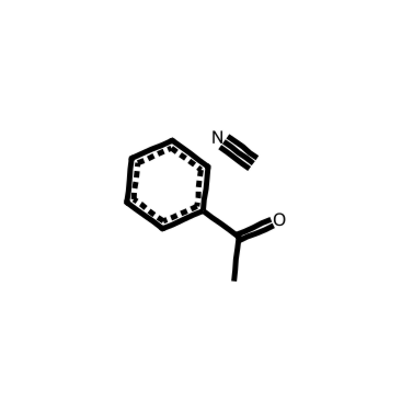 C#N.CC(=O)c1ccccc1